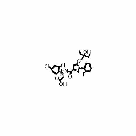 CCC(O)(CC)COc1cc(C(=O)N[C@@H](CC(=O)O)c2ccc(Cl)cc2Cl)nn1-c1ccccc1F